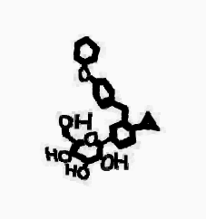 OC[C@H]1O[C@@H](c2ccc(C3CC3)c(Cc3ccc(OC4CCCCC4)cc3)c2)[C@H](O)[C@@H](O)[C@@H]1O